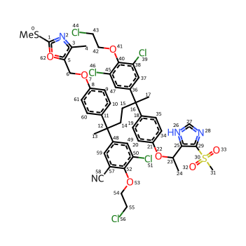 CSc1nc(C)c(COc2ccc(C(C)(CCC(C)(c3ccc(OC(C)c4[nH]cnc4S(C)(=O)=O)cc3)c3cc(Cl)c(OCCCl)c(Cl)c3)c3cc(Cl)c(OCCCl)c(C#N)c3)cc2)o1